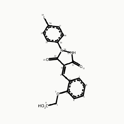 O=C(O)COc1ccccc1/C=C1\C(=O)NN(c2ccc(I)cc2)C1=O